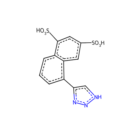 O=S(=O)(O)c1cc(S(=O)(=O)O)c2cccc(-c3c[nH]nn3)c2c1